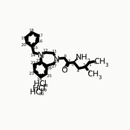 CCC(C)C[C@H](N)C(=O)CN1CCN(Cc2ccccc2)c2ccccc2C1.Cl.Cl.Cl